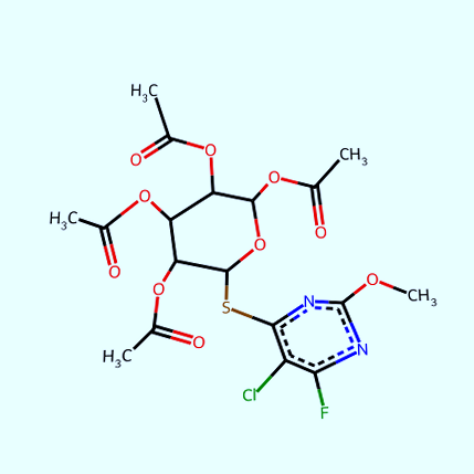 COc1nc(F)c(Cl)c(SC2OC(OC(C)=O)C(OC(C)=O)C(OC(C)=O)C2OC(C)=O)n1